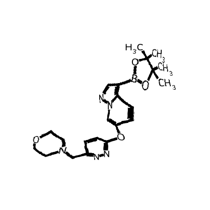 CC1(C)OB(c2cnn3cc(Oc4ccc(CN5CCOCC5)nn4)ccc23)OC1(C)C